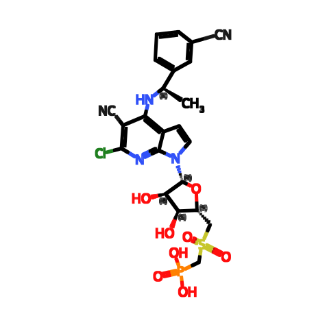 C[C@@H](Nc1c(C#N)c(Cl)nc2c1ccn2[C@@H]1O[C@H](CS(=O)(=O)CP(=O)(O)O)[C@@H](O)[C@H]1O)c1cccc(C#N)c1